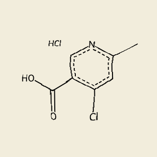 Cc1cc(Cl)c(C(=O)O)cn1.Cl